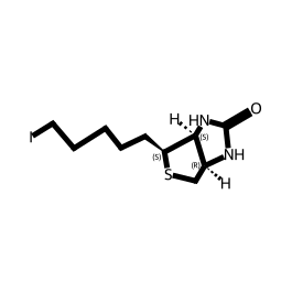 O=C1N[C@H]2[C@H](CS[C@H]2CCCCCI)N1